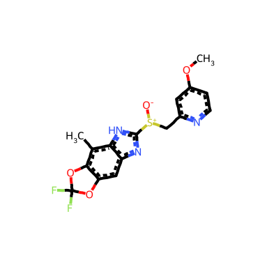 COc1ccnc(C[S+]([O-])c2nc3cc4c(c(C)c3[nH]2)OC(F)(F)O4)c1